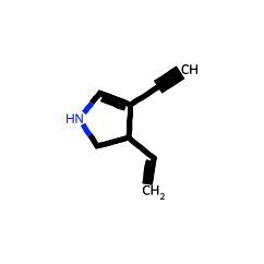 C#CC1=CNCC1C=C